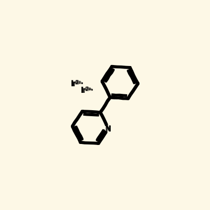 [Ir+2].[Ir+2].c1ccc(-c2ccccn2)cc1